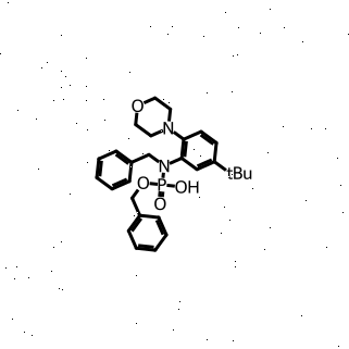 CC(C)(C)c1ccc(N2CCOCC2)c(N(Cc2ccccc2)P(=O)(O)OCc2ccccc2)c1